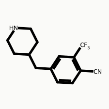 N#Cc1ccc(CC2CCNCC2)cc1C(F)(F)F